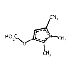 Cc1cc(OC(=O)O)c(C)n1C